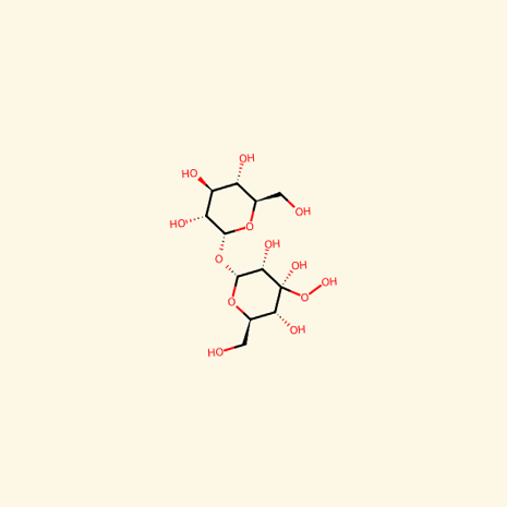 OC[C@H]1O[C@H](O[C@H]2O[C@H](CO)[C@@H](O)[C@](O)(OO)[C@H]2O)[C@H](O)[C@@H](O)[C@@H]1O